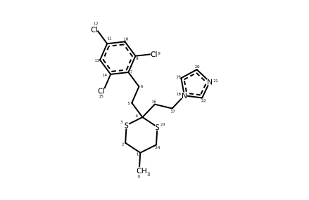 CC1CSC(CCc2c(Cl)cc(Cl)cc2Cl)(CCn2ccnc2)SC1